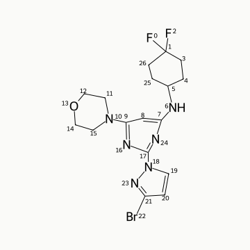 FC1(F)CCC(Nc2cc(N3CCOCC3)nc(-n3ccc(Br)n3)n2)CC1